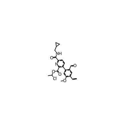 C=Cc1cc(C=O)c(-c2ccc(C(=O)NCC3CC3)nc2C(=O)OC(C)Cl)cc1OC